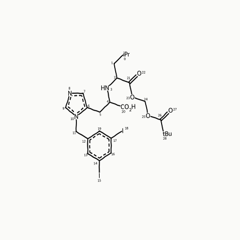 CC(C)CC(NC(Cc1cncn1Cc1cc(I)cc(I)c1)C(=O)O)C(=O)OCOC(=O)C(C)(C)C